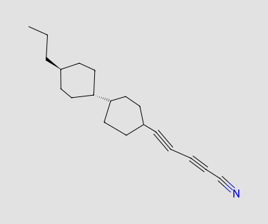 CCC[C@H]1CC[C@H](C2CCC(C#CC#CC#N)CC2)CC1